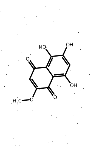 COC1=CC(=O)c2c(O)c(O)cc(O)c2C1=O